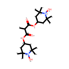 CC(C(=O)OC1CC(C)(C)N(O)C(C)(C)C1)C(=O)OC1CC(C)(C)N(O)C(C)(C)C1